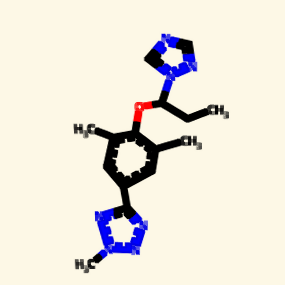 CCC(Oc1c(C)cc(-c2nnn(C)n2)cc1C)n1cncn1